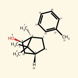 CC1(C)[C@@H]2CC[C@]1(C)[C@H](O)C2.Cc1ccccc1